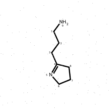 NCCCC1=NCCC1